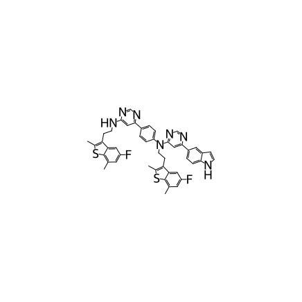 Cc1sc2c(C)cc(F)cc2c1CCNc1cc(-c2ccc(N(CCc3c(C)sc4c(C)cc(F)cc34)c3cc(-c4ccc5[nH]ccc5c4)ncn3)cc2)ncn1